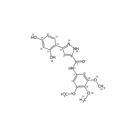 COc1cc(NC(=O)c2cc(-c3ccc(O)cc3O)n[nH]2)cc(OC)c1OC